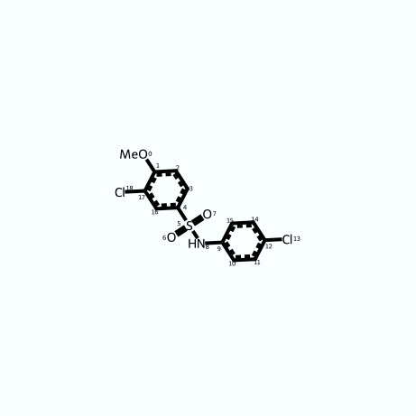 COc1ccc(S(=O)(=O)Nc2ccc(Cl)cc2)cc1Cl